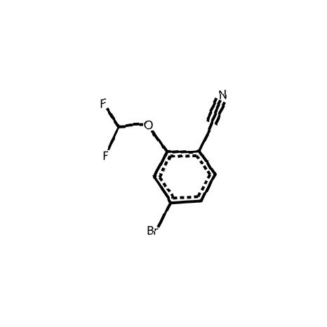 N#Cc1ccc(Br)cc1OC(F)F